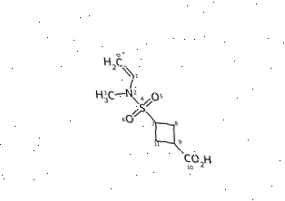 C=CN(C)S(=O)(=O)C1CC(C(=O)O)C1